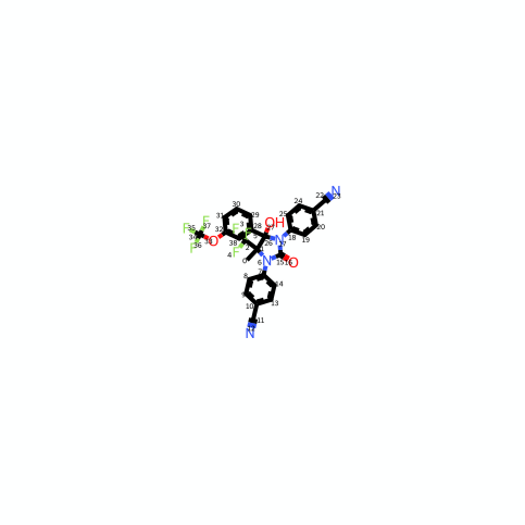 CC1(C(F)(F)F)N(c2ccc(C#N)cc2)C(=O)N(c2ccc(C#N)cc2)C1(O)c1cccc(OC(F)(F)F)c1